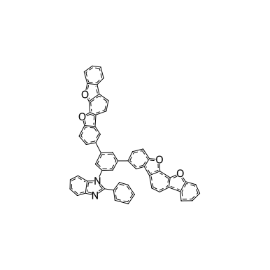 c1ccc(-c2nc3ccccc3n2-c2cc(-c3ccc4oc5c(ccc6c7ccccc7oc65)c4c3)cc(-c3ccc4oc5c(ccc6c7ccccc7oc65)c4c3)c2)cc1